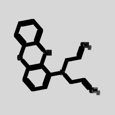 C=CCN(CC=C)c1cccc2c1Nc1ccccc1O2